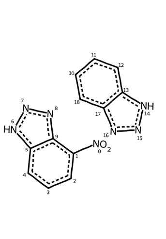 O=[N+]([O-])c1cccc2[nH]nnc12.c1ccc2[nH]nnc2c1